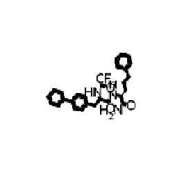 NC(=O)[C@H](CCCc1ccccc1)NC(=O)C(Cc1ccc(-c2ccccc2)cc1)NC(=O)C(F)(F)F